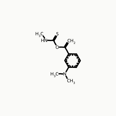 C=C(OC(=S)NC)c1cccc(N(C)C)c1